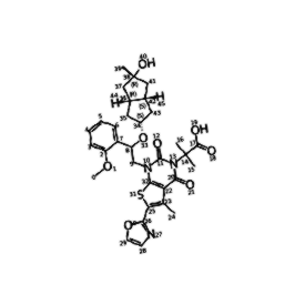 COc1ccccc1C(Cn1c(=O)n(C(C)(C)C(=O)O)c(=O)c2c(C)c(-c3ncco3)sc21)O[C@@H]1C[C@@H]2C[C@](C)(O)C[C@@H]2C1